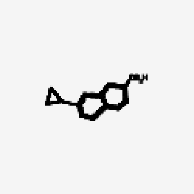 O=C(O)c1ccc2ccc(C3CC3)cc2c1